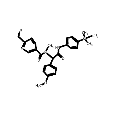 COc1ccc(C(C(=O)Nc2ccc([Si](C)(C)C)cc2)N(C)C(=O)c2ccc(CO)nc2)cc1